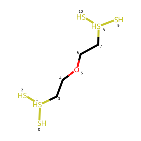 S[SH](S)CCOCC[SH](S)S